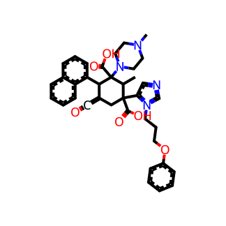 CC1C(C(=O)O)(c2cncn2CCCOc2ccccc2)CC(=C=O)C(c2cccc3ccccc23)C1(C(=O)O)N1CCN(C)CC1